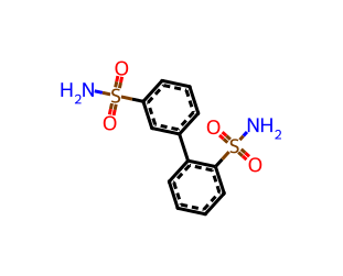 NS(=O)(=O)c1cccc(-c2ccccc2S(N)(=O)=O)c1